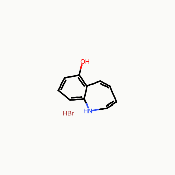 Br.Oc1cccc2c1C=CC=CN2